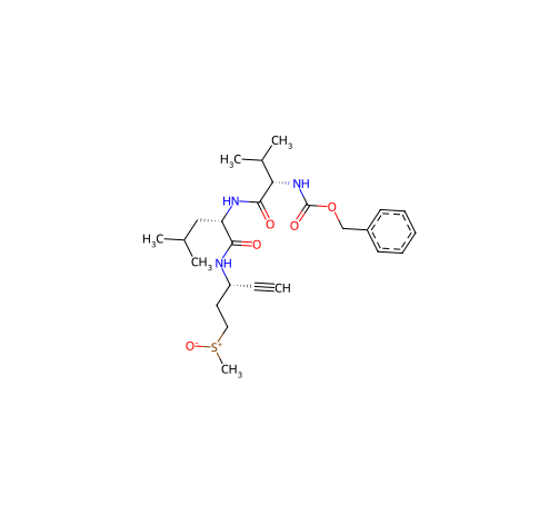 C#C[C@H](CC[S+](C)[O-])NC(=O)[C@H](CC(C)C)NC(=O)[C@@H](NC(=O)OCc1ccccc1)C(C)C